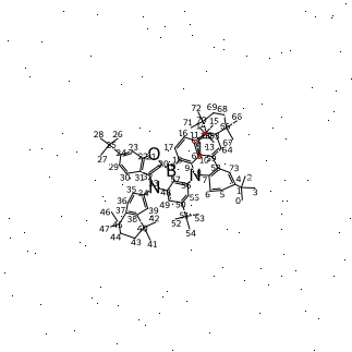 CC(C)(C)c1ccc(N2c3cc(C(C)(C)C)ccc3B3c4oc5cc(C(C)(C)C)ccc5c4N(c4ccc5c(c4)C(C)(C)CCC5(C)C)c4cc(C(C)(C)C)cc2c43)c(-c2ccc3c(c2)C(C)(C)CCC3(C)C)c1